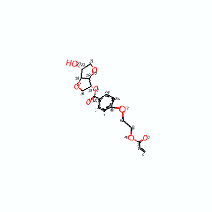 C=CC(=O)OCCOc1ccc(C(=O)O[C@@H]2COC3C2OC[C@H]3O)cc1